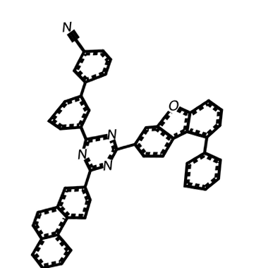 N#Cc1cccc(-c2cccc(-c3nc(-c4ccc5c(ccc6ccccc65)c4)nc(-c4ccc5c(c4)oc4cccc(-c6ccccc6)c45)n3)c2)c1